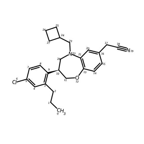 CCCc1cc(Cl)ccc1[C@@H]1COc2ccc(CC#N)cc2N(CC2CCC2)C1